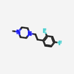 CN1CCN(CCc2ccc(F)cc2F)CC1